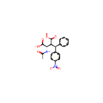 CC(=O)N[C@H](C(=O)O)C(C(=O)O)C(c1ccccc1)c1ccc([N+](=O)[O-])cc1